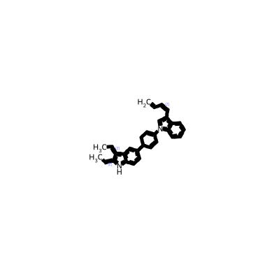 C=C/C=C\c1cn(C2=CCC(c3ccc4[nH]c(=C/C)/c(=C\C)c4c3)C=C2)c2ccccc12